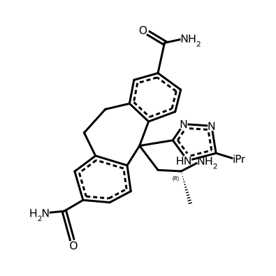 CC(C)c1nnc(C2(C[C@@H](C)N)c3ccc(C(N)=O)cc3CCc3cc(C(N)=O)ccc32)[nH]1